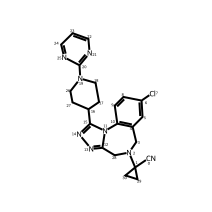 N#CC1(N2Cc3cc(Cl)ccc3-n3c(nnc3C3CCN(c4ncccn4)CC3)C2)CC1